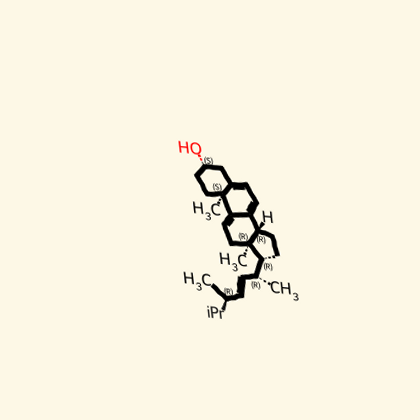 CC(C)[C@@H](C)C=C[C@@H](C)[C@H]1CC[C@H]2C3=CC=C4C[C@@H](O)CC[C@]4(C)C3=CC[C@]12C